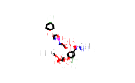 CCOC(=O)C(C)(C)Oc1cc(OC[C@@H](O)CN2C[C@@H](Oc3ccc(Cl)cc3)CO2)c(C(=O)NC)cc1Cl